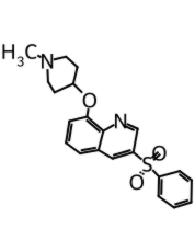 CN1CCC(Oc2cccc3cc(S(=O)(=O)c4ccccc4)cnc23)CC1